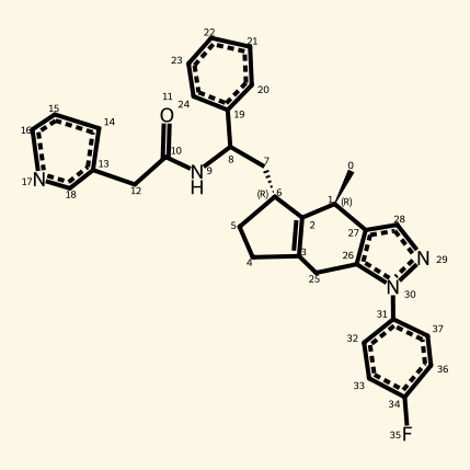 C[C@@H]1C2=C(CC[C@@H]2CC(NC(=O)Cc2cccnc2)c2ccccc2)Cc2c1cnn2-c1ccc(F)cc1